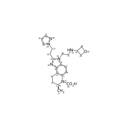 C[C@H]1CCc2c(ccc3c2nc(CCn2cccn2)n3CCNC2COC2)N1C(=O)O